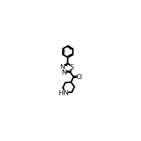 O=C(c1nnc(-c2ccccc2)s1)C1CCNCC1